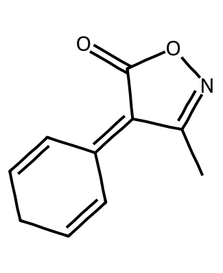 CC1=NOC(=O)C1=C1C=CCC=C1